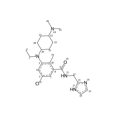 CCN(c1cc(Cl)cc(C(=O)NCc2ncc[nH]2)c1C)C1CCC(N(C)C)CC1